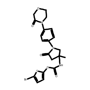 CC1(NC(=O)Oc2ccc(Br)s2)CC(=O)N(c2ccc(N3CCOCC3=O)cc2)C1